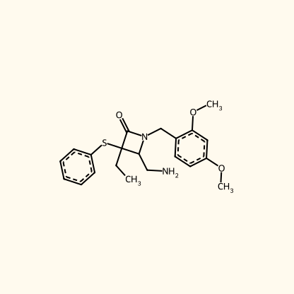 CCC1(Sc2ccccc2)C(=O)N(Cc2ccc(OC)cc2OC)C1CN